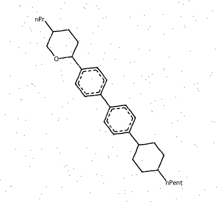 CCCCCC1CCC(c2ccc(-c3ccc(C4CCC(CCC)CO4)cc3)cc2)CC1